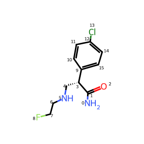 NC(=O)[C@H](CNCCF)c1ccc(Cl)cc1